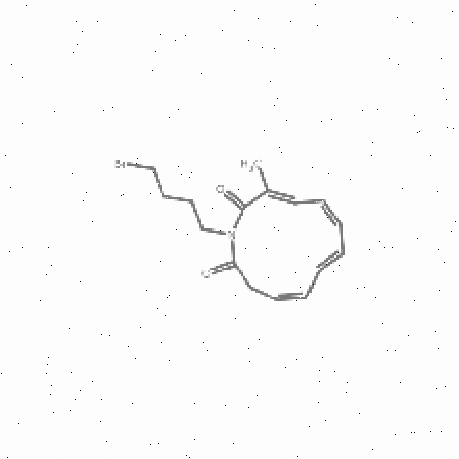 C\C1=C/C=C\C=C\C=C/CC(=O)N(CCCCBr)C1=O